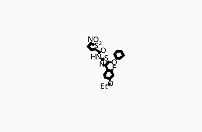 CCOc1ccc(-c2nc(NC(=O)c3ccc([N+](=O)[O-])s3)sc2Oc2ccccc2)c(F)c1